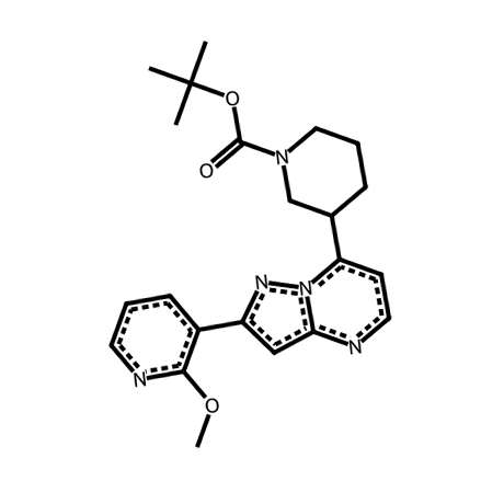 COc1ncccc1-c1cc2nccc(C3CCCN(C(=O)OC(C)(C)C)C3)n2n1